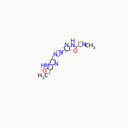 CCc1cc2ncc(CN3CCN(c4ccc(NC(=O)[C@H]5CCN(C)C5)nc4)CC3)cc2[nH]c1=O